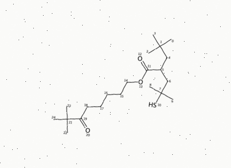 CC(C)(C)CC(CC(C)(C)S)C(=O)OCCCCCC(=O)C(C)(C)C